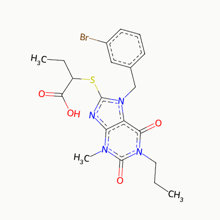 CCCn1c(=O)c2c(nc(SC(CC)C(=O)O)n2Cc2cccc(Br)c2)n(C)c1=O